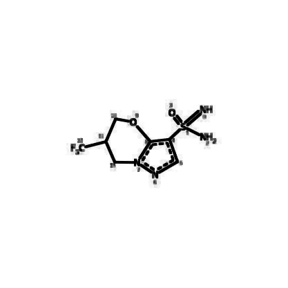 N=S(N)(=O)c1cnn2c1OCC(C(F)(F)F)C2